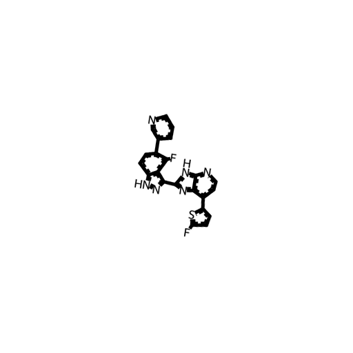 Fc1ccc(-c2ccnc3[nH]c(-c4n[nH]c5ccc(-c6cccnc6)c(F)c45)nc23)s1